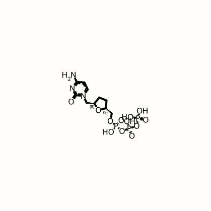 Nc1ccn(C[C@H]2CC[C@@H](COP(=O)(O)OP(=O)(O)OP(=O)(O)O)O2)c(=O)n1